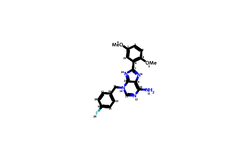 COc1ccc(OC)c(-c2nc3c(N)ncn(Cc4ccc(F)cc4)c-3n2)c1